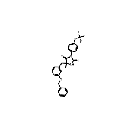 CC1(Cc2ccnc(OCc3ccccc3)c2)NC(=O)N(c2ccc(SC(F)(F)F)cc2)C1=O